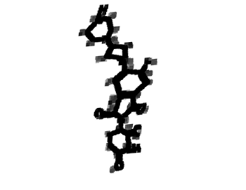 O=C1CCC(N2C(=O)c3cc(F)c(N4CC(N5CCNCC5)C4)cc3C2=O)C(=O)N1